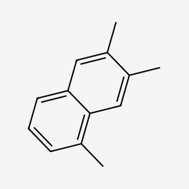 Cc1cc2cccc(C)c2cc1C